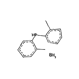 B.Cc1ccccc1Pc1ccccc1C